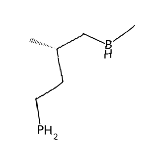 CBC[C@@H](C)CCP